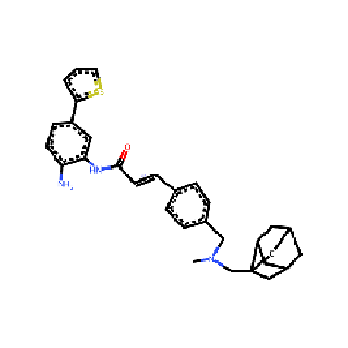 CN(Cc1ccc(/C=C/C(=O)Nc2cc(-c3cccs3)ccc2N)cc1)CC12CC3CC(CC1C3)C2